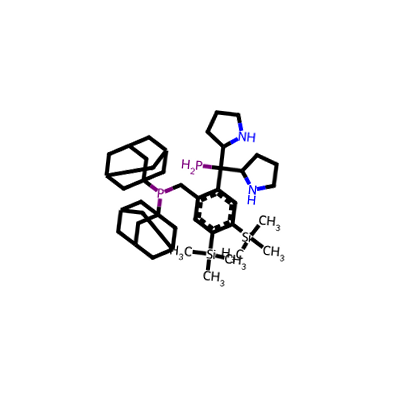 C[Si](C)(C)c1cc(CP(C23CC4CC(CC(C4)C2)C3)C23CC4CC(CC(C4)C2)C3)c(C(P)(C2CCCN2)C2CCCN2)cc1[Si](C)(C)C